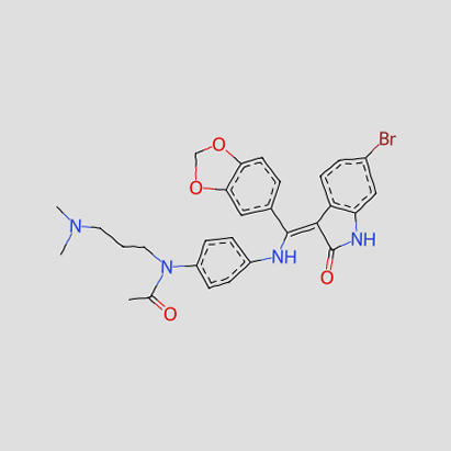 CC(=O)N(CCCN(C)C)c1ccc(N/C(=C2\C(=O)Nc3cc(Br)ccc32)c2ccc3c(c2)OCO3)cc1